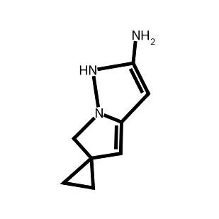 NC1=CC2=CC3(CC3)CN2N1